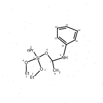 CCC[Si](OCC)(OCC)OC(C)Nc1ccccc1